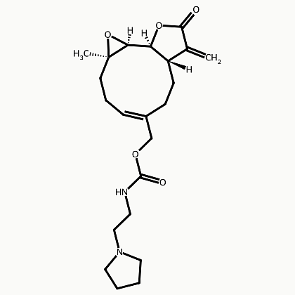 C=C1C(=O)O[C@H]2[C@H]1CC/C(COC(=O)NCCN1CCCC1)=C\CC[C@@]1(C)O[C@@H]21